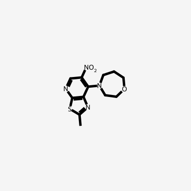 Cc1nc2c(N3CCCOCC3)c([N+](=O)[O-])cnc2s1